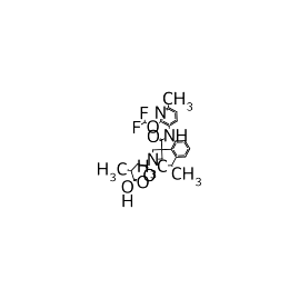 Cc1ccc(NC(=O)C2(c3ccccc3C(C)C)CN(C(=O)C[C@H](C)C(=O)O)C2)c(OC(F)F)n1